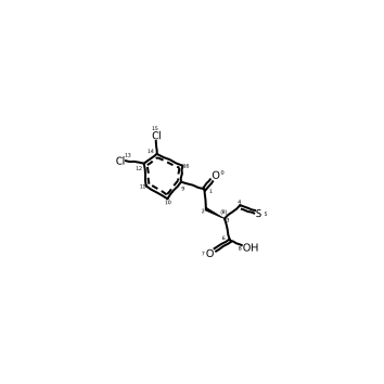 O=C(C[C@@H](C=S)C(=O)O)c1ccc(Cl)c(Cl)c1